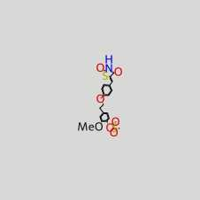 COc1cc(CCOc2ccc(/C=C3\SC(=O)NC3=O)cc2)ccc1OS(C)(=O)=O